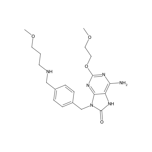 COCCCNCc1ccc(Cn2c(=O)[nH]c3c(N)nc(OCCOC)nc32)cc1